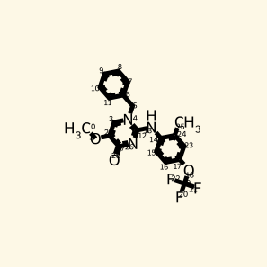 COc1cn(Cc2ccccc2)c(Nc2ccc(OC(F)(F)F)cc2C)nc1=O